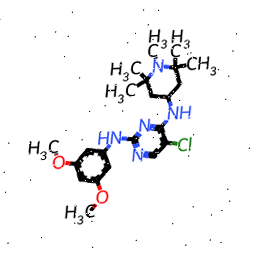 COc1cc(Nc2ncc(Cl)c(NC3CC(C)(C)N(C)C(C)(C)C3)n2)cc(OC)c1